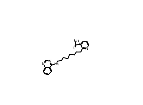 NC(=O)c1cccnc1CCCCCCCCNc1ncnc2ccccc12